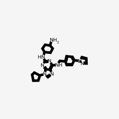 NC1CCC(Nc2nc(NCc3ccc(-n4cccn4)cc3)c3ncn(C4CCCC4)c3n2)CC1